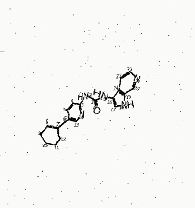 O=C(Nc1ccc(C2CCCCC2)cn1)Nc1c[nH]c2cnccc12